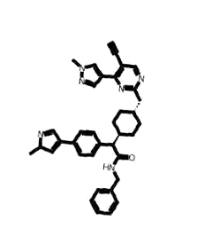 C#Cc1cnc(C[C@H]2CC[C@H](C(C(=O)NCc3ccccc3)c3ccc(C4=CC(C)N=C4)cc3)CC2)nc1-c1cnn(C)c1